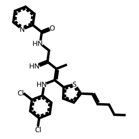 CCC/C=C/c1ccc(/C(Nc2ccc(Cl)cc2Cl)=C(\C)C(=N)CNC(=O)c2ccccn2)s1